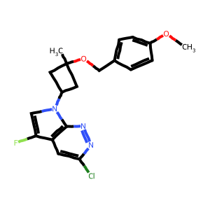 COc1ccc(COC2(C)CC(n3cc(F)c4cc(Cl)nnc43)C2)cc1